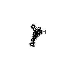 O=COC(Cc1ccccc1)CC1(S(=O)(=O)c2ccc(OCc3ccccc3)cc2)CCNCC1